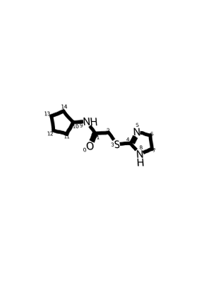 O=C(CSC1=NCCN1)NC1CCCC1